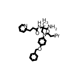 CC(C)CCN(CC(C)(NC(=O)[CH]Cc1ccccn1)C(N)=O)c1ccc(OCc2ccccc2)cc1